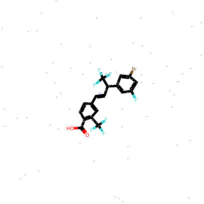 O=C(O)c1ccc(/C=C/C(c2cc(F)cc(Br)c2)C(F)(F)F)cc1C(F)(F)F